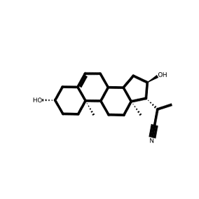 CC(C#N)[C@H]1[C@H](O)CC2C3CC=C4C[C@@H](O)CC[C@]4(C)C3CC[C@@]21C